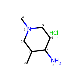 CC1CN(C)CCC1N.Cl